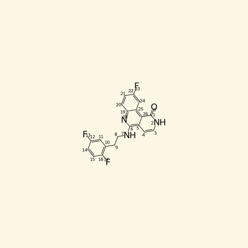 O=c1[nH]ccc2c(NCCc3cc(F)ccc3F)nc3ccc(F)cc3c12